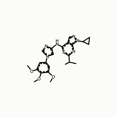 COc1cc(-n2cnc(Nc3nc(C(C)C)nc4c3cnn4C3CC3)c2)cc(OC)c1OC